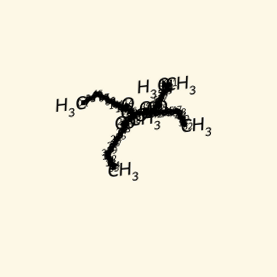 CCCC/C=C\CCCCCCCC(=O)OCC(C)(COC(=O)CCCCCCC/C=C\CCCC)COC(=O)CC(CCCCC/C=C\CCCC)OC(=O)CCCCN(C)C